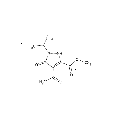 COC(=O)c1[nH]n(C(C)C)c(=O)c1C(C)=O